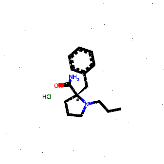 CCCN1CCC[C@]1(Cc1ccccc1)C(N)=O.Cl